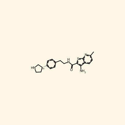 Cc1ccc2c(N)c(C(=O)NCCc3ccc([C@@H]4CCNC4)cc3)sc2n1